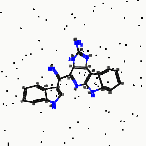 N=C(c1c[nH]c2ccccc12)c1nc2[nH]c3ccccc3c2c2nc(N)[nH]c12